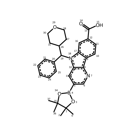 CC1(C)OB(c2cnc3c4ccc(C(=O)O)cc4n(C(c4ccccc4)C4CCOCC4)c3c2)OC1(C)C